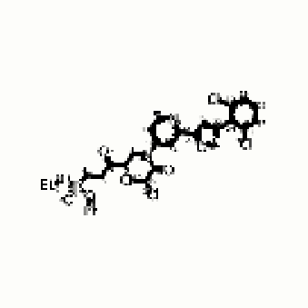 CCOP(=O)(CCC(=O)CCN(C(=O)C(Cl)Cl)c1ccnc(-c2cc(-c3c(Cl)cccc3Cl)no2)c1)OCC